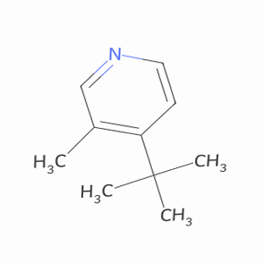 Cc1cnccc1C(C)(C)C